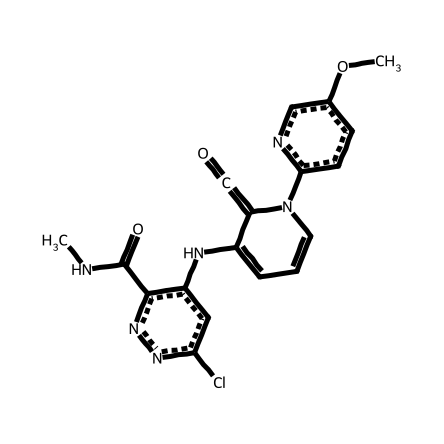 CNC(=O)c1nnc(Cl)cc1NC1=CC=CN(c2ccc(OC)cn2)C1=C=O